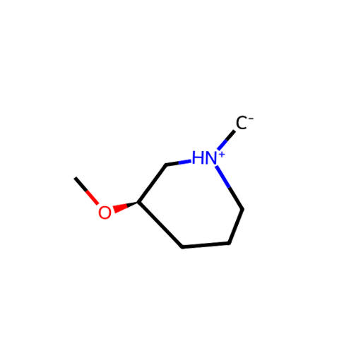 [CH2-][NH+]1CCC[C@@H](OC)C1